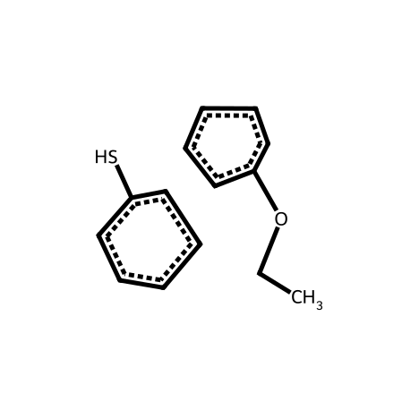 CCOc1ccccc1.Sc1ccccc1